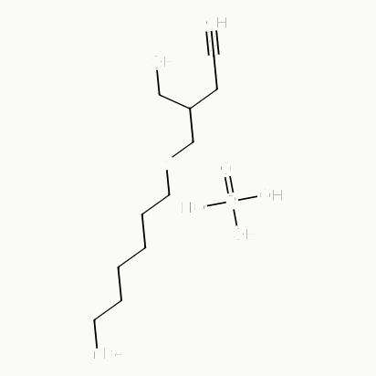 C#CCC(CO)CSCCCCCCCCCCCCCCCC.O=P(O)(O)O